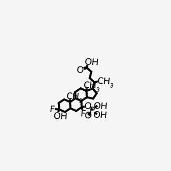 CC(CCC(=O)O)C1CCC2C3C(CCC12C)C1(C)CCC(O)(F)CC1CC3(F)OP(=O)(O)O